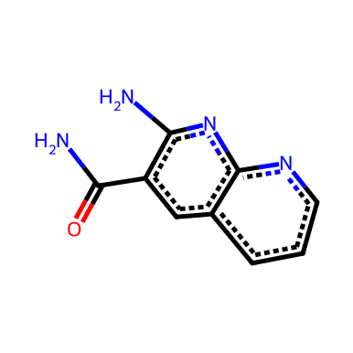 NC(=O)c1cc2cccnc2nc1N